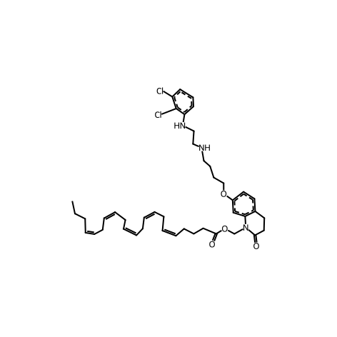 CCC/C=C\C/C=C\C/C=C\C/C=C\C/C=C\CCCC(=O)OCN1C(=O)CCc2ccc(OCCCCNCCNc3cccc(Cl)c3Cl)cc21